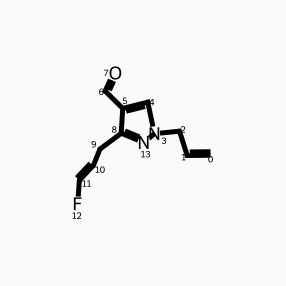 C=CCn1cc(C=O)c(CC=CF)n1